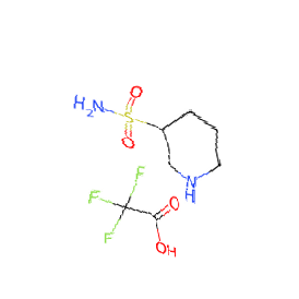 NS(=O)(=O)C1CCCNC1.O=C(O)C(F)(F)F